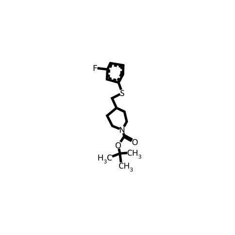 CC(C)(C)OC(=O)N1CCC(CSc2cccc(F)c2)CC1